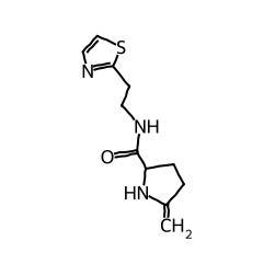 C=C1CCC(C(=O)NCCc2nccs2)N1